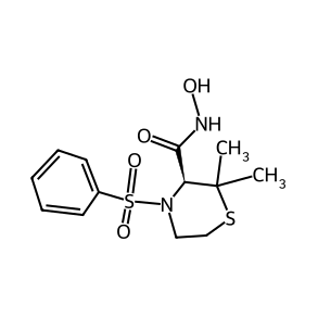 CC1(C)SCCN(S(=O)(=O)c2ccccc2)[C@H]1C(=O)NO